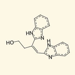 OCCC(=Cc1nc2ccccc2[nH]1)c1nc2ccccc2[nH]1